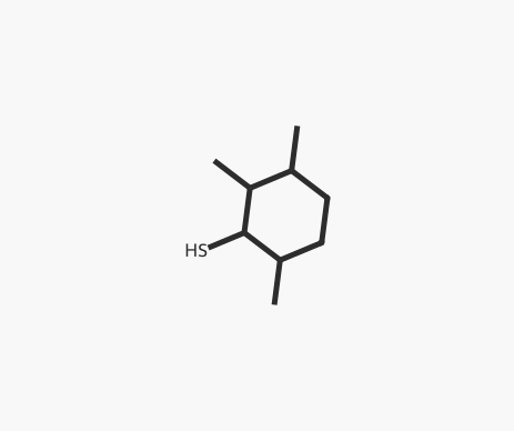 CC1CCC(C)C(S)C1C